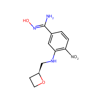 N/C(=N\O)c1ccc([N+](=O)[O-])c(NC[C@@H]2CCO2)c1